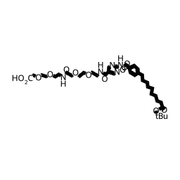 CC(C)(C)OC(=O)CCCCCCCCCc1ccc(S(=O)(=O)Nc2ncc(C(=O)NCCOCCOCC(=O)NCCOCCOCC(=O)O)cn2)cc1